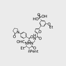 CCCCCC(C(=O)NCNC(=O)c1ccc(-c2cc(OCC)cc(P(=O)(O)O)c2)o1)[C@@H](CC)N(C=O)OC(=O)c1ccc(N2CCCC2=O)cc1